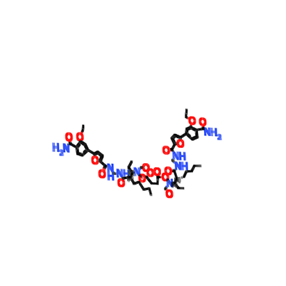 CCCCC[C@@H](C(=O)NCNC(=O)c1ccc(-c2ccc(C(N)=O)c(OCC)c2)o1)[C@@H](CC)N(C=O)OC(=O)CCC(=O)ON(C=O)[C@H](CC)[C@@H](CCCCC)C(=O)NCNC(=O)c1ccc(-c2ccc(C(N)=O)c(OCC)c2)o1